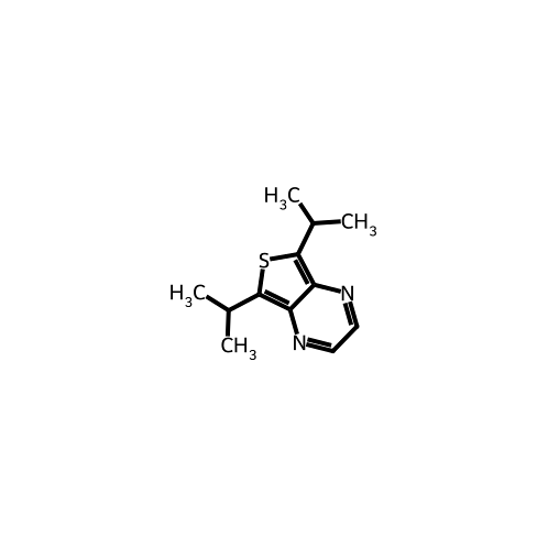 CC(C)c1sc(C(C)C)c2nccnc12